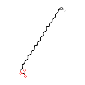 C=CCCCCCCC=CCCCCCCC=CCCCCCCC=CC1COC(=O)O1